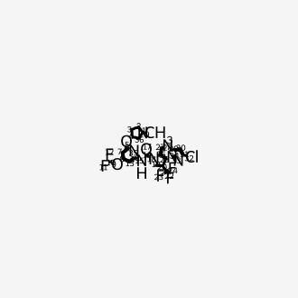 CN1CCC(Oc2cc(OC(F)F)cc(NC(=O)N3CC(C(F)(F)F)c4c3cnc3cc(Cl)nn43)n2)C1